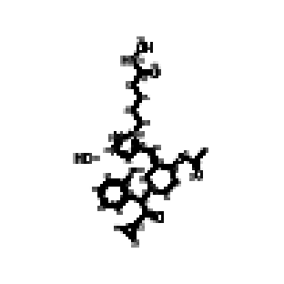 CC(=O)SC1CCN(C(C(=O)C2CC2)c2ccccc2F)C/C1=C\c1cnnn1CCCCC(=O)NO.Cl